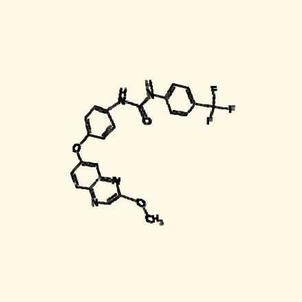 COc1cnc2ccc(Oc3ccc(NC(=O)Nc4ccc(C(F)(F)F)cc4)cc3)cc2n1